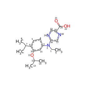 CCN(c1ccc(C(C)C)c(OC(C)C)c1)c1cnc(C(=O)O)cn1